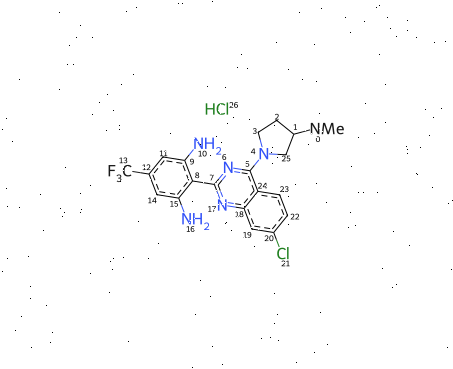 CNC1CCN(c2nc(-c3c(N)cc(C(F)(F)F)cc3N)nc3cc(Cl)ccc23)C1.Cl